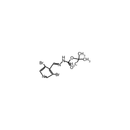 CC(C)(C)OC(=O)N/N=C/c1c(Br)cncc1Br